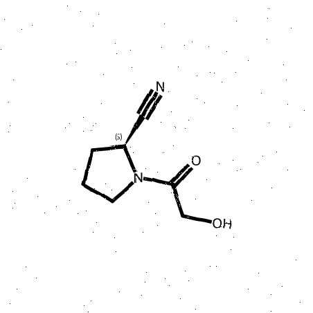 N#C[C@@H]1CCCN1C(=O)CO